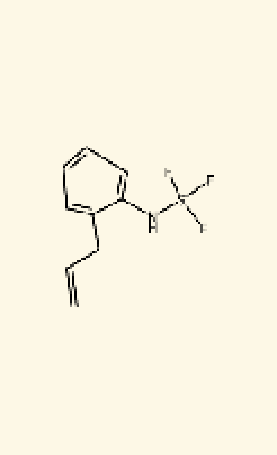 C=CCc1ccccc1NS(F)(F)F